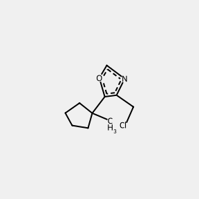 CC1(c2ocnc2CCl)CCCC1